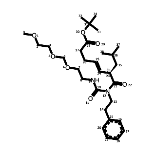 COCCOCOCCNC(=O)N(CCc1ccccc1)C(=O)[C@@H](C=CCCC(=O)OC(C)(C)C)CC(C)C